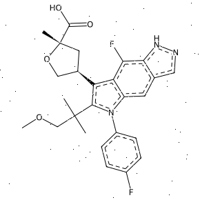 COCC(C)(C)c1c([C@H]2CO[C@](C)(C(=O)O)C2)c2c(F)c3[nH]ncc3cc2n1-c1ccc(F)cc1